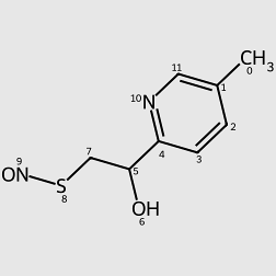 Cc1ccc(C(O)CSN=O)nc1